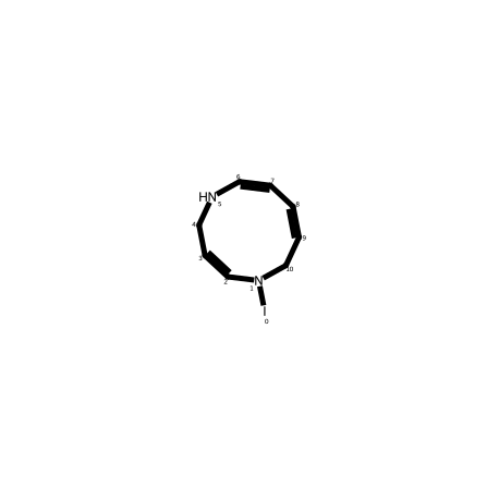 IN1/C=C\CN/C=C\C=C/C1